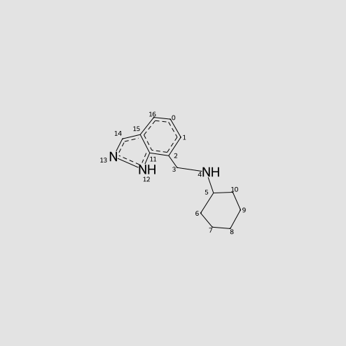 c1cc(CNC2CCCCC2)c2[nH]ncc2c1